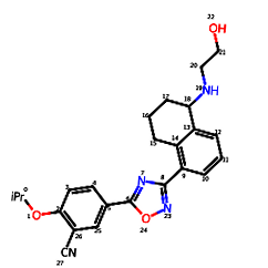 CC(C)Oc1ccc(-c2nc(-c3cccc4c3CCCC4NCCO)no2)cc1C#N